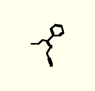 CCCC(=NCC#N)c1ccccc1